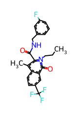 CCCn1c(C(=O)NCc2cccc(F)c2)c(C)c2ccc(C(F)(F)F)cc2c1=O